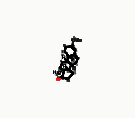 COC1=CC2=CC[C@@H]3[C@H](CC[C@]4(C)C(=O)CC[C@@H]34)[C@H]2CC1